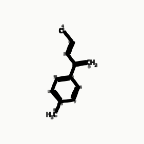 C=C(/C=C/Cl)c1ccc(C)cc1